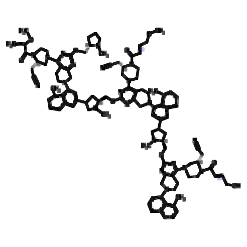 C=C(OC)C(=O)N1CCN(c2nc(OC[C@@H]3CCCN3C)nc3c2CCN(c2cc(C4C[C@@H](COc5nc6c(c(N7CCN(C(=O)/C=C/COC)[C@@H](CC#N)C7)n5)CCN(c5cc(C7C[C@@H](COc8nc9c(c(N%10CCN(C(=O)/C=C/CO)[C@@H](CC#N)C%10)n8)CCN(c8cccc%10cccc(C)c8%10)C9)N(C)C7)cc7cccc(C)c57)C6)N(C)C4)cc4cccc(C)c24)C3)C[C@@H]1CC#N